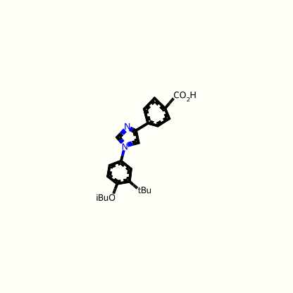 CC(C)COc1ccc(-n2cnc(-c3ccc(C(=O)O)cc3)c2)cc1C(C)(C)C